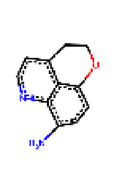 Nc1ccc2c3c(ccnc13)CCO2